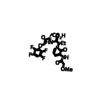 CC[C@@H](C(=O)N[C@@H](CC(=O)O)C(=O)COc1c(F)c(F)cc(F)c1F)n1cccc(NC(=O)COC)c1=O